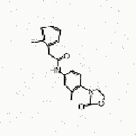 Cc1cc(NC(=O)Cc2ccccc2F)ccc1N1CCOC1=O